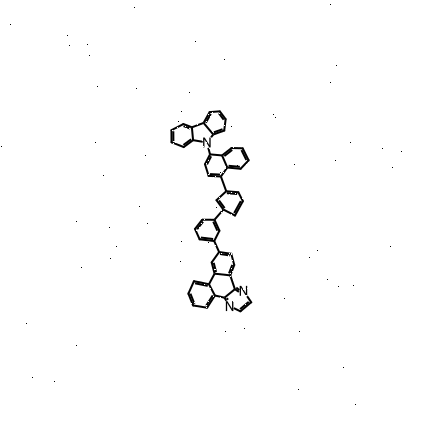 c1cc(-c2cccc(-c3ccc(-n4c5ccccc5c5ccccc54)c4ccccc34)c2)cc(-c2ccc3c(c2)c2ccccc2c2nccnc32)c1